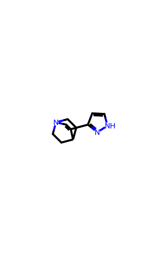 C1=C(c2cc[nH]n2)C2CCN1CC2